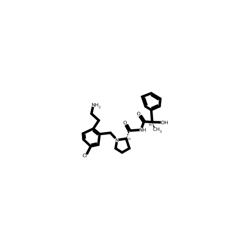 C[C@](O)(C(=O)NC(=O)[C@@H]1CCCN1Cc1cc(Cl)ccc1CCN)c1ccccc1